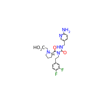 Nc1ccc(CNC(=O)N(CCc2ccc(F)c(F)c2)C(=O)[C@H]2CCCN2CC(=O)O)cn1